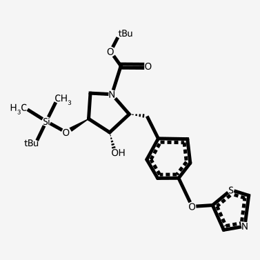 CC(C)(C)OC(=O)N1C[C@H](O[Si](C)(C)C(C)(C)C)[C@@H](O)[C@H]1Cc1ccc(Oc2cncs2)cc1